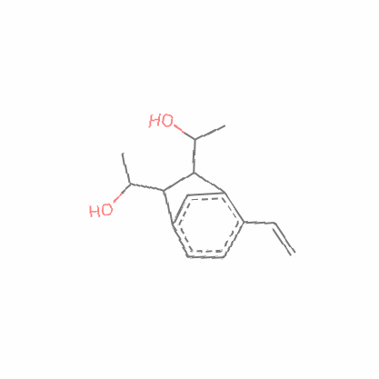 C=Cc1ccc2cc1C(C(C)O)C2C(C)O